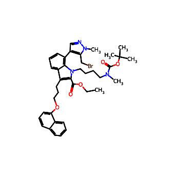 CCOC(=O)c1c(CCCOc2cccc3ccccc23)c2cccc(-c3cnn(C)c3CBr)c2n1CCCCN(C)C(=O)OC(C)(C)C